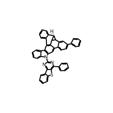 c1ccc(-c2ccc3c(c2)C2C4c5c-3cc3c(c5-c5ccccc5[C@@H]24)c2ccccc2n3-c2nc(-c3ccccc3)c3sc4ccccc4c3n2)cc1